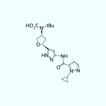 CC(C)(C)N(C(=O)O)[C@@H]1CO[C@H](c2cc(NC(=O)c3ccnn3C3CC3)n[nH]2)C1